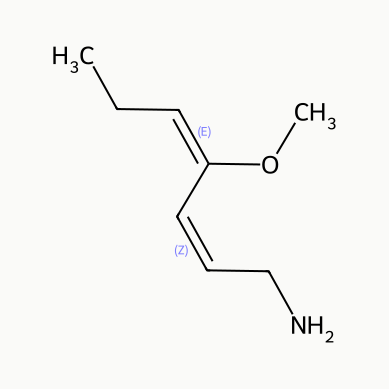 CC/C=C(\C=C/CN)OC